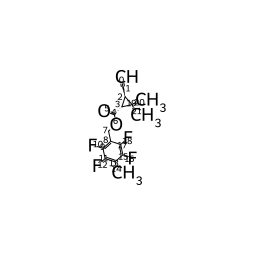 C#C[C@@H]1[C@@H](C(=O)OCc2c(F)c(F)c(C)c(F)c2F)C1(C)C